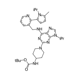 Cc1ccc(-c2ncccc2CNc2nc(N3CCC(NC(=O)OC(C)(C)C)CC3)nc3c2ncn3C(C)C)n1C(C)C